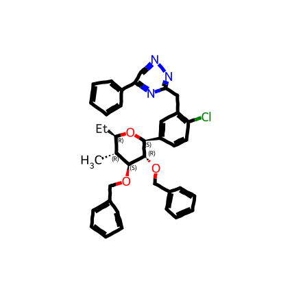 CC[C@H]1O[C@@H](c2ccc(Cl)c(Cc3nncc(-c4ccccc4)n3)c2)[C@H](OCc2ccccc2)[C@@H](OCc2ccccc2)[C@@H]1C